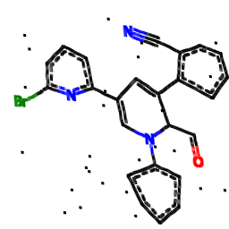 N#Cc1ccccc1C1=CC(c2cccc(Br)n2)=CN(c2ccccc2)C1C=O